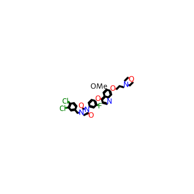 COc1cc2c(Oc3ccc(N4C(=O)CN(Cc5ccc(Cl)c(Cl)c5)C4=O)cc3F)ccnc2cc1OCCCN1CCOCC1